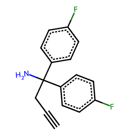 C#CCC(N)(c1ccc(F)cc1)c1ccc(F)cc1